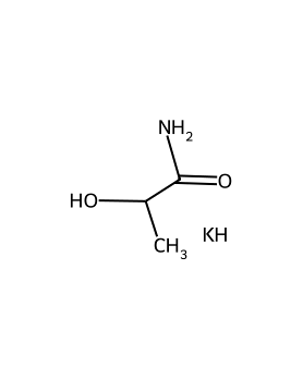 CC(O)C(N)=O.[KH]